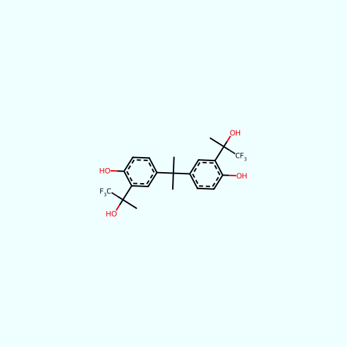 CC(C)(c1ccc(O)c(C(C)(O)C(F)(F)F)c1)c1ccc(O)c(C(C)(O)C(F)(F)F)c1